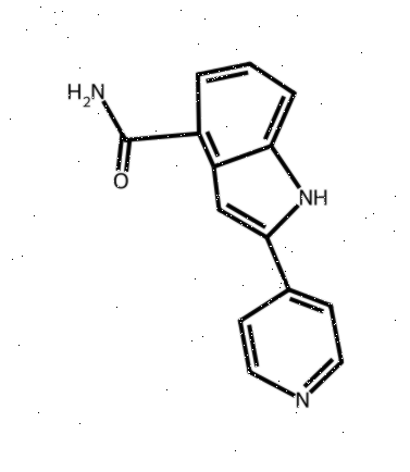 NC(=O)c1cccc2[nH]c(-c3ccncc3)cc12